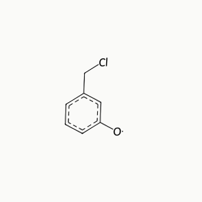 [O]c1cccc(CCl)c1